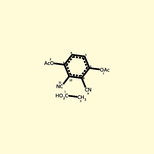 CC(=O)O.CC(=O)Oc1ccc(OC(C)=O)c(C#N)c1C#N